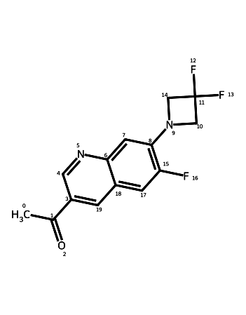 CC(=O)c1cnc2cc(N3CC(F)(F)C3)c(F)cc2c1